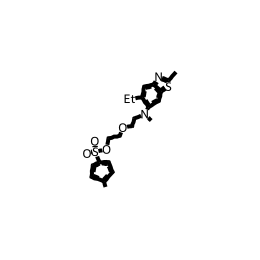 CCc1cc2nc(C)sc2cc1N(C)CCOCCOS(=O)(=O)c1ccc(C)cc1